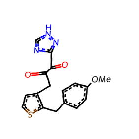 COc1ccc(Cc2sccc2CC(=O)C(=O)c2nc[nH]n2)cc1